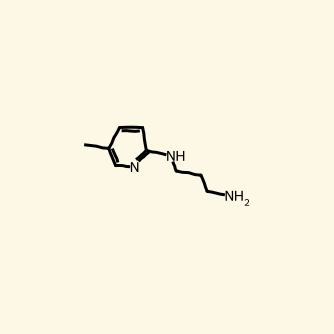 Cc1ccc(NCCCN)nc1